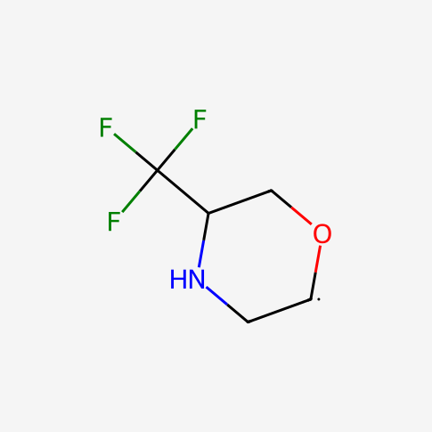 FC(F)(F)C1CO[CH]CN1